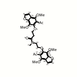 COc1c(C(C)=O)c(OCCC(=O)N(C)CCOc2c(C(C)=O)c(OC)c3ccoc3c2OC)c(OC)c2occc12